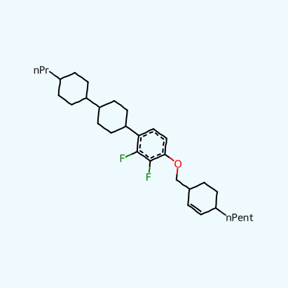 CCCCCC1C=CC(COc2ccc(C3CCC(C4CCC(CCC)CC4)CC3)c(F)c2F)CC1